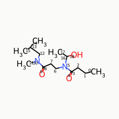 CCCC(=O)N(CCC(=O)N(C)CC(C)C)C(C)O